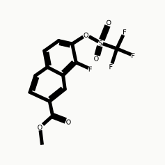 COC(=O)c1ccc2ccc(OS(=O)(=O)C(F)(F)F)c(F)c2c1